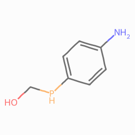 Nc1ccc(PCO)cc1